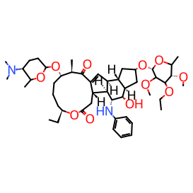 CCOC1C(OC)[C@H](O[C@@H]2C[C@H]3[C@@H](O)[C@H](Nc4ccccc4)[C@@H]4[C@@H](C=C5C(=O)[C@H](C)[C@@H](OC6CC[C@H](N(C)C)C(C)O6)CCC[C@H](CC)OC(=O)C[C@H]54)[C@@H]3C2)OC(C)[C@@H]1OC